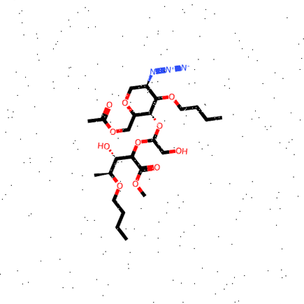 CCCCOC1[C@H](OC(CO)OC(C(=O)OC)[C@@H](O)[C@H](C)OCCCC)C(COC(C)=O)OC[C@H]1N=[N+]=[N-]